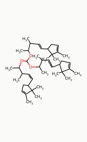 CC1=CCC(C=CC(C)C(C)OC(OC(C)C(C)C=CC2CC=C(C)C2(C)C)OC(C)C(C)C=CC2CC=C(C)C2(C)C)C1(C)C